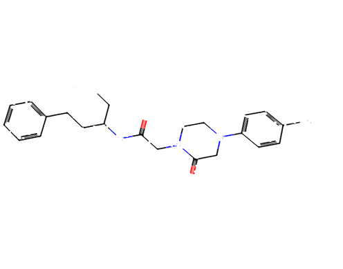 N#Cc1ccc(N2CCN(CC(=O)NC(CCc3ccccc3)CC(=O)O)C(=O)C2)cc1